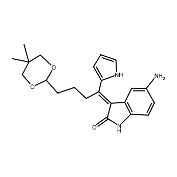 CC1(C)COC(CCCC(=C2C(=O)Nc3ccc(N)cc32)c2ccc[nH]2)OC1